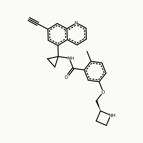 C#Cc1cc(C2(NC(=O)c3cc(OC[C@@H]4CCN4)ccc3C)CC2)c2cccnc2c1